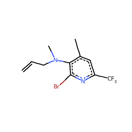 C=CCN(C)c1c(C)cc(C(F)(F)F)nc1Br